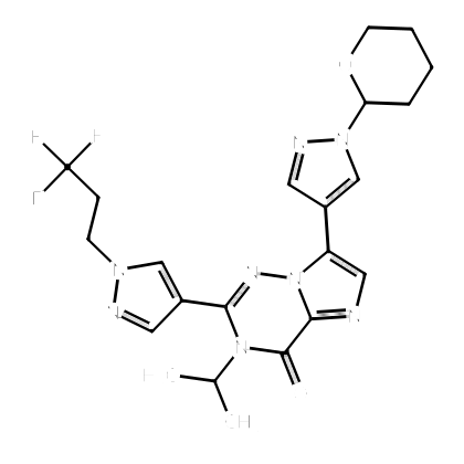 CC(C)n1c(-c2cnn(CCC(F)(F)F)c2)nn2c(-c3cnn(C4CCCCO4)c3)cnc2c1=O